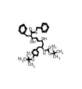 CC(C)(C)OC(=O)NC(Cc1ccc(OC(C)(C)C)cc1)CC(O)/C=C/C(O)C(Cc1ccccc1)C(=O)SCc1ccccc1